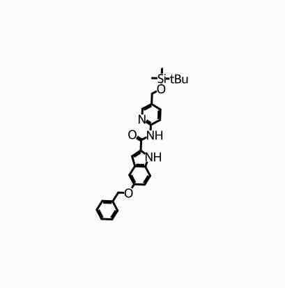 CC(C)(C)[Si](C)(C)OCc1ccc(NC(=O)c2cc3cc(OCc4ccccc4)ccc3[nH]2)nc1